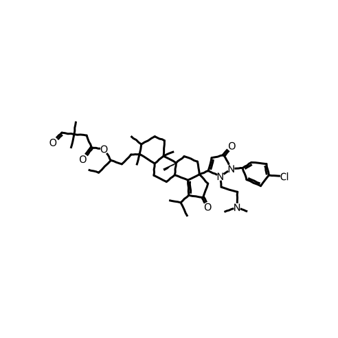 CCC(CCC1(C)C(C)CCC2(C)C1CCC1C3=C(C(C)C)C(=O)CC3(c3cc(=O)n(-c4ccc(Cl)cc4)n3CCN(C)C)CC[C@]12C)OC(=O)CC(C)(C)C=O